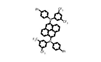 CC(C)c1ccc(N(c2cc(C(F)(F)F)cc(C(F)(F)F)c2)c2cc3cccc4c(N(c5ccc(C(C)C)cc5)c5cc(C(F)(F)F)cc(C(F)(F)F)c5)cc5cccc2c5c34)cc1